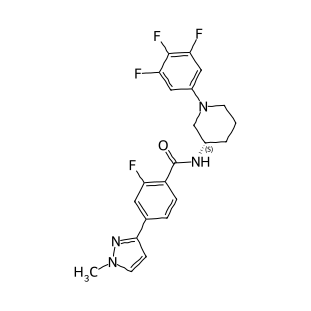 Cn1ccc(-c2ccc(C(=O)N[C@H]3CCCN(c4cc(F)c(F)c(F)c4)C3)c(F)c2)n1